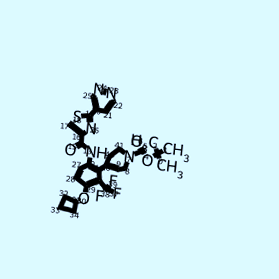 CC(C)(C)OC(=O)N1CC=C(c2c(NC(=O)c3csc(-c4ccnnc4)n3)ccc(OC3CCC3)c2C(F)(F)F)CC1